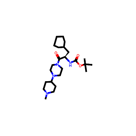 CN1CCC(N2CCN(C(=O)[C@@H](CC3CCCCC3)NC(=O)OC(C)(C)C)CC2)CC1